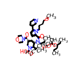 CC(=O)O.CCCCCC.COCCCCn1c(C(=O)N(CC(C)C)[C@H]2C[C@@H](C(=O)N3CCOCC3)CN(C(=O)O)C2C(C)(C)C)ccc1-c1cccnc1